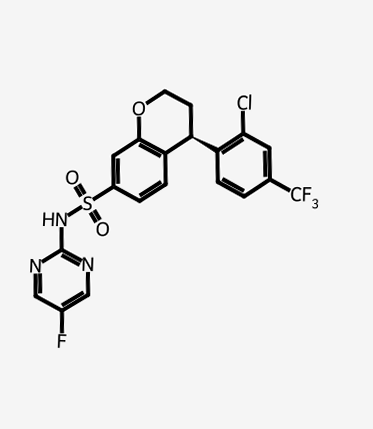 O=S(=O)(Nc1ncc(F)cn1)c1ccc2c(c1)OCC[C@H]2c1ccc(C(F)(F)F)cc1Cl